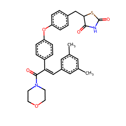 Cc1cc(C)cc(/C=C(/C(=O)N2CCOCC2)c2ccc(Oc3ccc(CC4SC(=O)NC4=O)cc3)cc2)c1